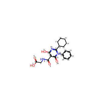 O=C(O)CNC(=O)c1c(O)nc(C2CCCCC2)n(-c2ccccc2)c1=O